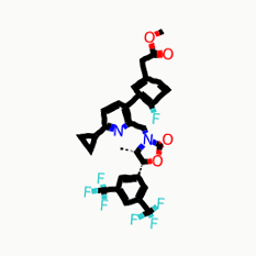 COC(=O)Cc1ccc(F)c(-c2ccc(C3CC3)nc2CN2C(=O)O[C@H](c3cc(C(F)(F)F)cc(C(F)(F)F)c3)[C@@H]2C)c1